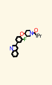 CC(C)C(=O)N1CCC(Oc2ccc(-c3cnc4ccccc4c3)cc2F)CC1